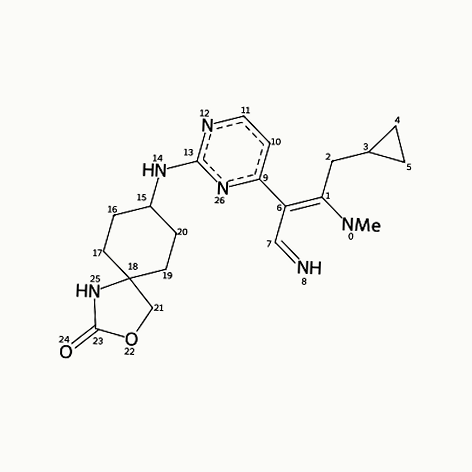 CN/C(CC1CC1)=C(\C=N)c1ccnc(NC2CCC3(CC2)COC(=O)N3)n1